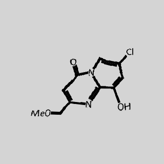 COCc1cc(=O)n2cc(Cl)cc(O)c2n1